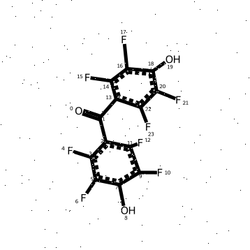 O=C(c1c(F)c(F)c(O)c(F)c1F)c1c(F)c(F)c(O)c(F)c1F